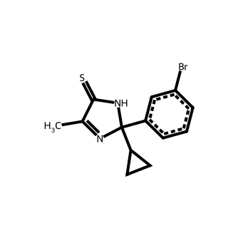 CC1=NC(c2cccc(Br)c2)(C2CC2)NC1=S